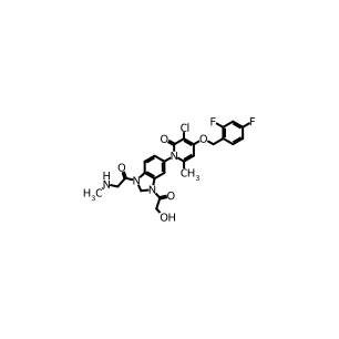 CNCC(=O)N1CN(C(=O)CO)c2cc(-n3c(C)cc(OCc4ccc(F)cc4F)c(Cl)c3=O)ccc21